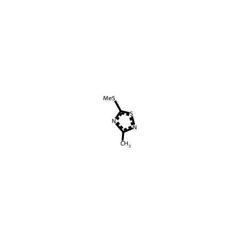 CSc1nc(C)ns1